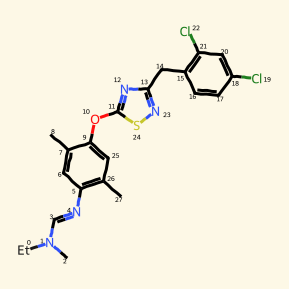 CCN(C)C=Nc1cc(C)c(Oc2nc(Cc3ccc(Cl)cc3Cl)ns2)cc1C